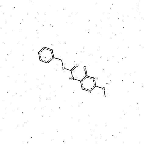 COc1ncc(NC(=O)OCc2ccccc2)c(=O)[nH]1